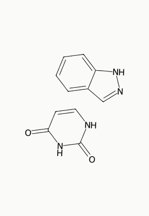 O=c1cc[nH]c(=O)[nH]1.c1ccc2[nH]ncc2c1